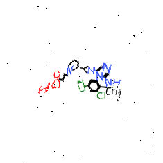 C[C@@H](Nc1cncc(N2CC([C@@H]3CCCN(CCCC(=O)O)C3)C2)n1)c1ccc(Cl)cc1Cl